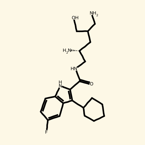 NCC(CO)C[C@@H](N)CNC(=O)c1[nH]c2ccc(F)cc2c1C1CCCCC1